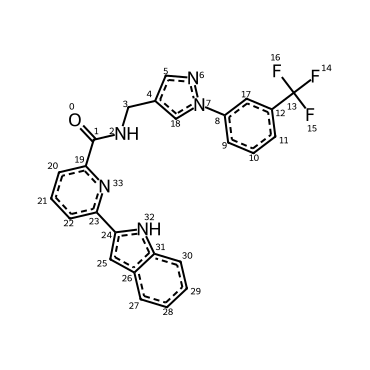 O=C(NCc1cnn(-c2cccc(C(F)(F)F)c2)c1)c1cccc(-c2cc3ccccc3[nH]2)n1